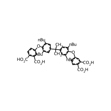 CCCCc1cc(C(C)(C)c2cc(CCCC)c(Oc3ccc(C(=O)O)c(C(=O)O)c3)c(CCCC)c2)cc(CCCC)c1Oc1ccc(C(=O)O)c(C(=O)O)c1